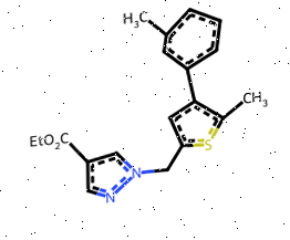 CCOC(=O)c1cnn(Cc2cc(-c3cccc(C)c3)c(C)s2)c1